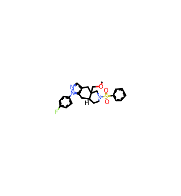 COCC12Cc3cnn(-c4ccc(F)cc4)c3C[C@@H]1CCN(S(=O)(=O)c1ccccc1)C2